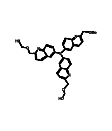 COCc1ccc2cc(N(c3ccc4nc(COCO)ccc4c3)c3ccc4nc(COCO)ccc4c3)ccc2n1